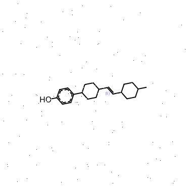 CC1CCC(/C=C/C2CCC(c3ccc(O)cc3)CC2)CC1